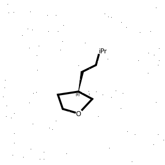 CC(C)CC[C@@H]1CCOC1